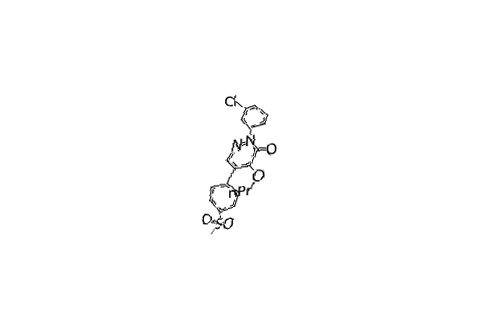 CCCOc1c(-c2ccc(S(C)(=O)=O)cc2)cnn(-c2cccc(Cl)c2)c1=O